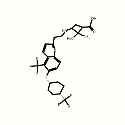 CC1(C)C(NCCc2ccc3c(C(F)(F)F)c(O[C@H]4CC[C@@H](C(F)(F)F)CC4)ccc3n2)CC1C(=O)O